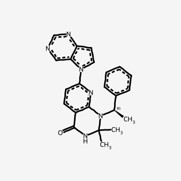 C[C@H](c1ccccc1)N1c2nc(-n3ccc4ncncc43)ccc2C(=O)NC1(C)C